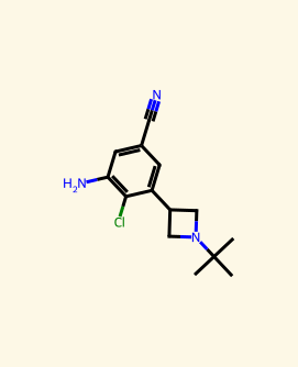 CC(C)(C)N1CC(c2cc(C#N)cc(N)c2Cl)C1